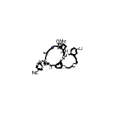 CO[C@H]1/C=C/C[C@H](C)CS(=O)(Nc2ncc(C#N)cn2)=NC(=O)c2ccc3c(c2)N(Cc2ccc(Cl)cc2CCCCO3)C[C@@H]2CC[C@H]21